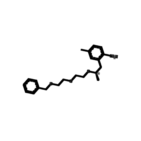 Cc1ccc(S(=O)(=O)O)c(C[C@@H](C)OCCOCCOCc2ccccc2)c1